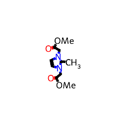 COC(=O)CN1C=CN(CC(=O)OC)C1C